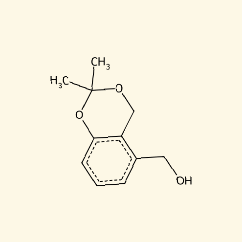 CC1(C)OCc2c(CO)cccc2O1